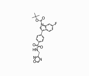 CC(C)(C)OC(=O)n1cc(-c2ccc(S(=O)(=O)NCc3ncon3)cc2)c2ccc(F)cc21